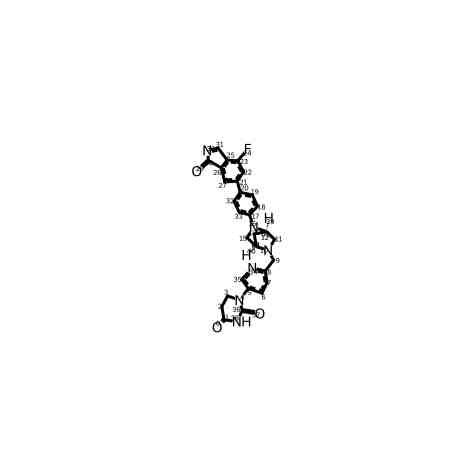 O=C1CCN(c2ccc(CN3C[C@H]4C[C@@H]3CN4c3ccc(-c4cc(F)c5c(c4)C(=O)N=C5)cc3)nc2)C(=O)N1